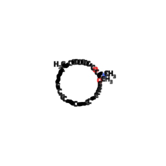 C/C1=C/CCCCCCCCCOCC(CN(C)C)COCCCCCCCCCC/C=C\C/C=C\CCCCCCCCCC/C=C\C1